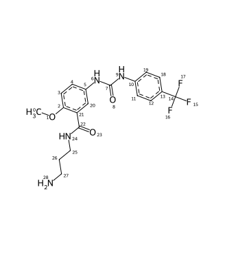 COc1ccc(NC(=O)Nc2ccc(C(F)(F)F)cc2)cc1C(=O)NCCCN